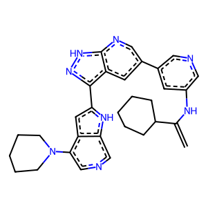 C=C(Nc1cncc(-c2cnc3[nH]nc(-c4cc5c(N6CCCCC6)cncc5[nH]4)c3c2)c1)C1CCCCC1